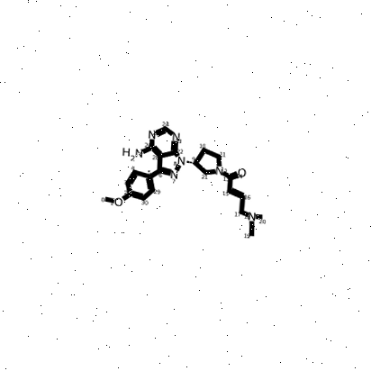 COc1ccc(-c2nn([C@@H]3CCN(C(=O)C=CCN(C)C)C3)c3ncnc(N)c23)cc1